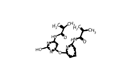 C=C(C)C(=O)Nc1cccc(Oc2cc(NC(=O)C(=C)C)nc(O)n2)n1